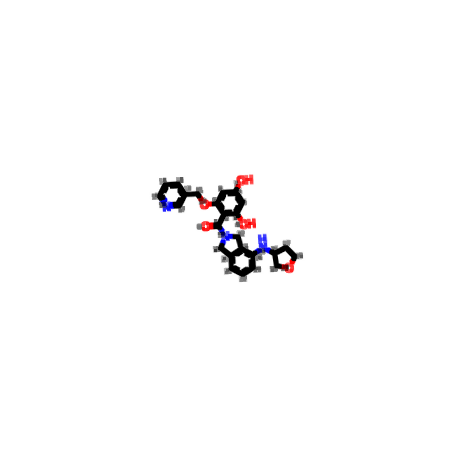 O=C(c1c(O)cc(O)cc1OCc1cccnc1)N1Cc2cccc(NC3CCOC3)c2C1